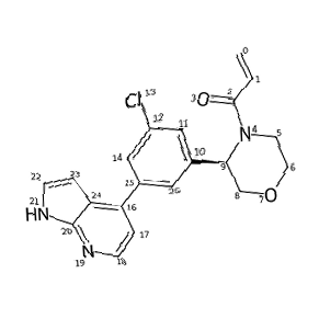 C=CC(=O)N1CCOC[C@H]1c1cc(Cl)cc(-c2ccnc3[nH]ccc23)c1